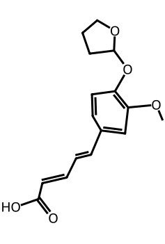 COc1cc(C=CC=CC(=O)O)ccc1OC1CCCO1